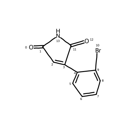 O=C1C=C(c2ccccc2Br)C(=O)N1